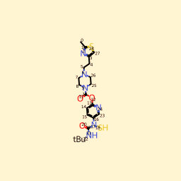 Cc1nc(CCN2CCN(C(=O)Oc3ccc(N(S)C(=O)NC(C)(C)C)cn3)CC2)cs1